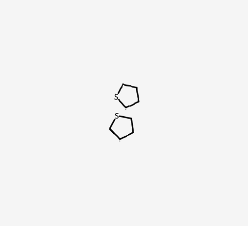 [CH]1CCCS1.[CH]1CCSC1